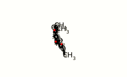 CCCCOc1ccc(-n2ccn(C3CCC(N4CCC(N(C)C(C)=O)C4)CC3)c2=O)cc1